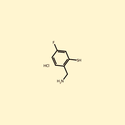 Cl.NCc1ccc(F)cc1S